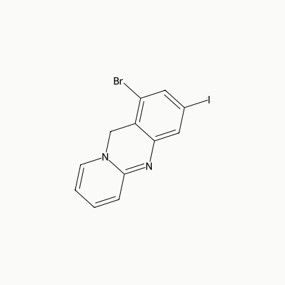 Brc1cc(I)cc2c1CN1C=CC=CC1=N2